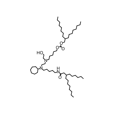 CCCCCCCCC(CCCCCCCC)COC(=O)OCCCCCN(CCO)CCN(CCCCCNC(=O)CC(CCCCCC)CCCCCCCC)C1CCCCCC1